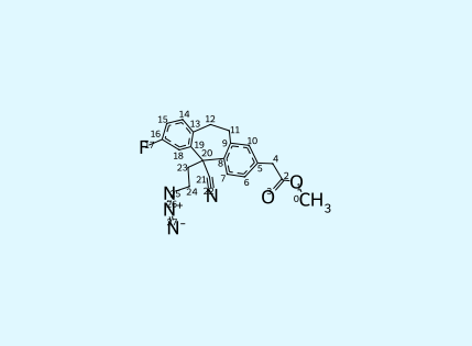 COC(=O)Cc1ccc2c(c1)CCc1ccc(F)cc1C2(C#N)CCN=[N+]=[N-]